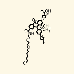 C[Si]1(C)C2=CC(=[N+]3CC(F)(C(=O)O)C3)C=CC2=C(c2cc(C(=O)NCCOCCOCCCCCCCl)ccc2C(=O)[O-])c2ccc(N3CC(F)C3)cc21